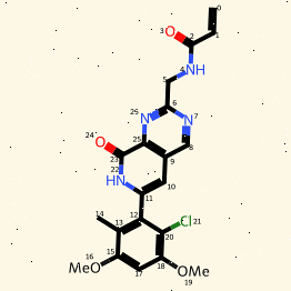 C=CC(=O)NCc1ncc2cc(-c3c(C)c(OC)cc(OC)c3Cl)[nH]c(=O)c2n1